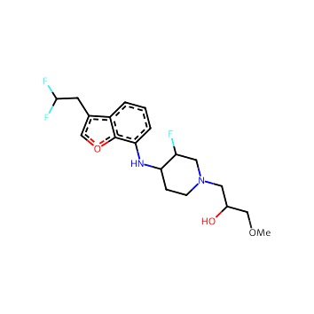 COCC(O)CN1CCC(Nc2cccc3c(CC(F)F)coc23)C(F)C1